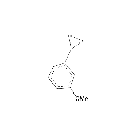 COc1cccc(C2CC2)c1